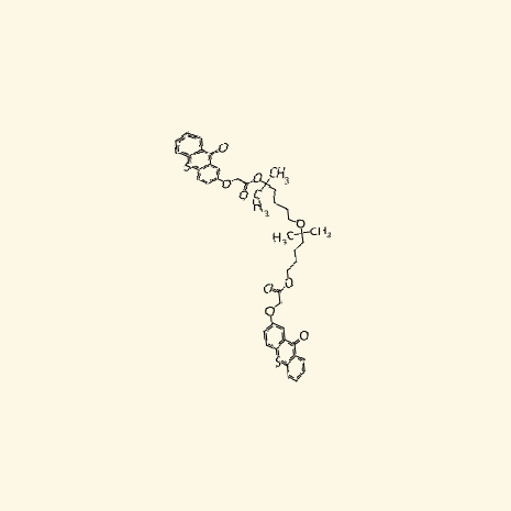 CC(C)(CCCCOC(=O)COc1ccc2sc3ccccc3c(=O)c2c1)OCCCCC(C)(C)OC(=O)COc1ccc2sc3ccccc3c(=O)c2c1